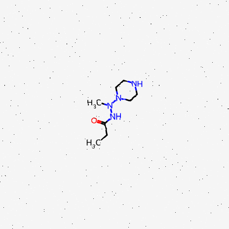 CCC(=O)NN(C)N1CCNCC1